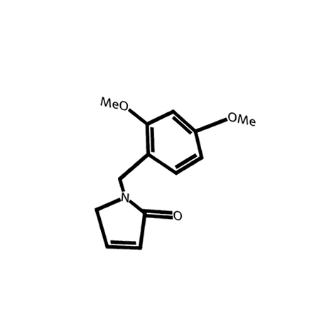 COc1ccc(CN2CC=CC2=O)c(OC)c1